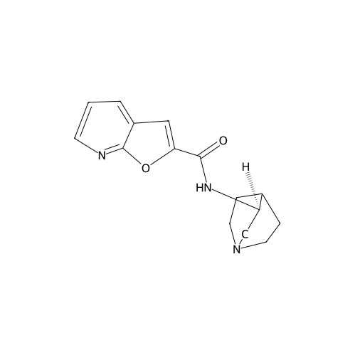 O=C(N[C@@H]1CN2CCC1CC2)c1cc2cccnc2o1